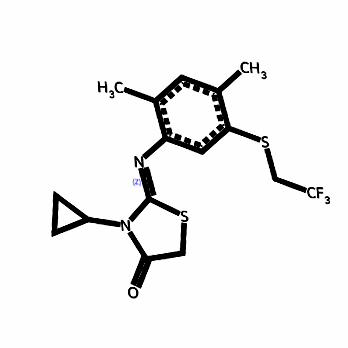 Cc1cc(C)c(SCC(F)(F)F)cc1/N=C1\SCC(=O)N1C1CC1